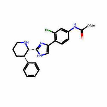 COC(=O)Nc1ccc(-c2c[nH]c([C@H]3NCCC[C@H]3c3ccccc3)n2)c(Br)c1